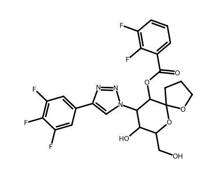 O=C(OC1C(n2cc(-c3cc(F)c(F)c(F)c3)nn2)C(O)C(CO)OC12CCCO2)c1cccc(F)c1F